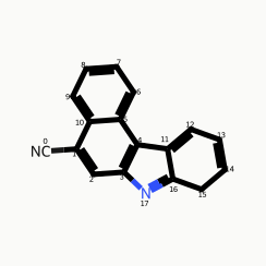 N#Cc1cc2c(c3ccccc13)C1=CC=CCC1=N2